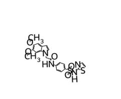 COc1cc2ccn(CC(=O)Nc3ccc(S(=O)(=O)Nc4nccs4)cc3)c2cc1OC